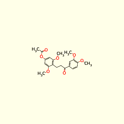 COc1ccc(C(=O)CCc2c(OC)cc(OC(C)=O)cc2OC)cc1OC